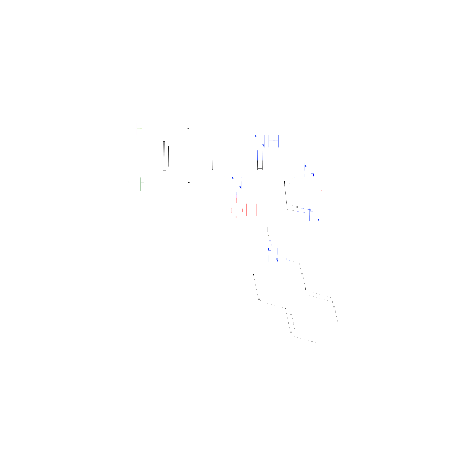 N=C(c1nonc1CN1CCc2ccccc2C1)N(O)c1ccc(F)c(Cl)c1